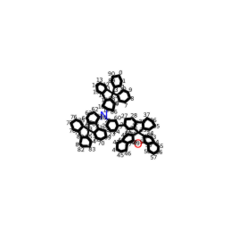 c1ccc(C2(c3ccccc3)c3ccccc3-c3cc(N(c4cccc(-c5ccc6c(c5)C5(c7ccccc7-6)c6ccc7ccccc7c6Oc6c5ccc5ccccc65)c4)c4cccc5c4-c4ccccc4C54c5ccccc5-c5ccccc54)ccc32)cc1